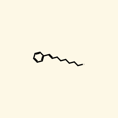 [CH]CCCCCCC=Cc1ccccc1